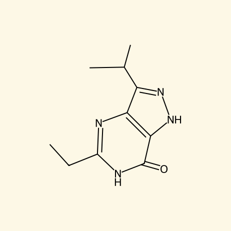 CCc1nc2c(C(C)C)n[nH]c2c(=O)[nH]1